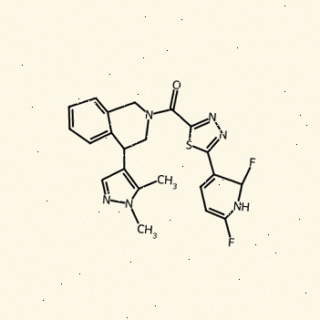 Cc1c(C2CN(C(=O)c3nnc(C4=CC=C(F)NC4F)s3)Cc3ccccc32)cnn1C